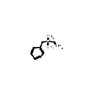 C=C[Si](C)(C)Cc1ccccc1